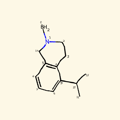 BN1CCc2c(cccc2C(C)C)C1